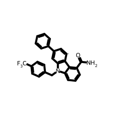 NC(=O)c1cccc2c1c1[c]cc(-c3ccccc3)cc1n2Cc1ccc(C(F)(F)F)cc1